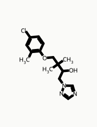 Cc1cc(Cl)ccc1OCC(C)(C)C(O)Cn1cncn1